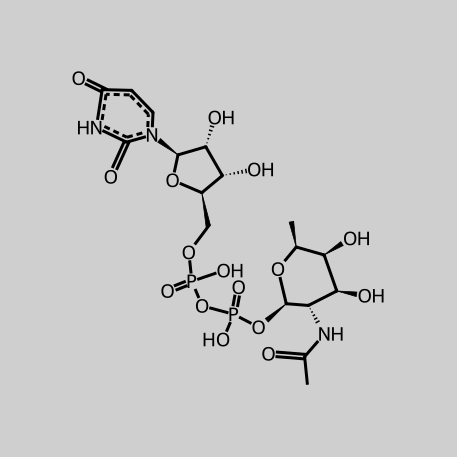 CC(=O)N[C@@H]1[C@@H](OP(=O)(O)OP(=O)(O)OC[C@H]2O[C@@H](n3ccc(=O)[nH]c3=O)[C@H](O)[C@@H]2O)O[C@@H](C)[C@@H](O)[C@H]1O